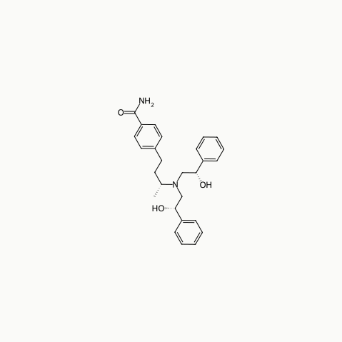 C[C@H](CCc1ccc(C(N)=O)cc1)N(C[C@@H](O)c1ccccc1)C[C@@H](O)c1ccccc1